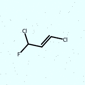 FC(Cl)C=CCl